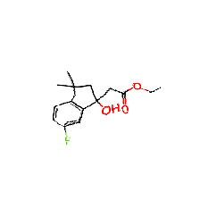 CCOC(=O)CC1(O)CC(C)(C)c2ccc(F)cc21